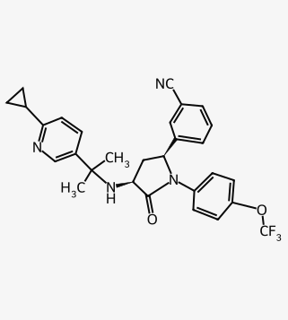 CC(C)(N[C@H]1C[C@@H](c2cccc(C#N)c2)N(c2ccc(OC(F)(F)F)cc2)C1=O)c1ccc(C2CC2)nc1